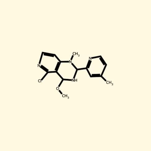 COC1NC(c2cc(C)ccn2)N(C)c2ccnc(Cl)c21